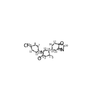 Cc1cc(=O)n(-c2ccc(Cl)cc2)cc1-c1ccc2ocnc2c1